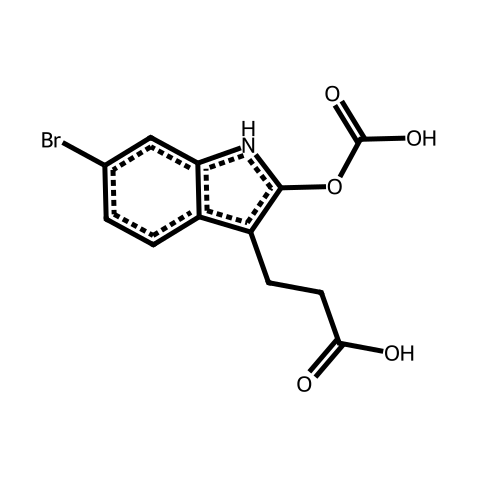 O=C(O)CCc1c(OC(=O)O)[nH]c2cc(Br)ccc12